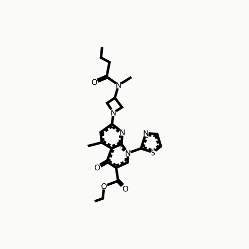 CCCC(=O)N(C)C1CN(c2cc(C)c3c(=O)c(C(=O)OCC)cn(-c4nccs4)c3n2)C1